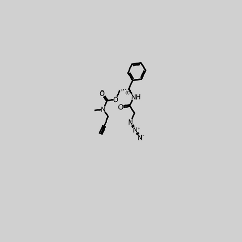 C#CCN(C)C(=O)OC[C@@H](NC(=O)CN=[N+]=[N-])c1ccccc1